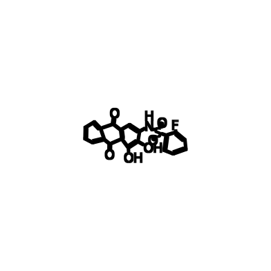 O=C1c2ccccc2C(=O)c2c1cc(NS(=O)(=O)c1ccccc1F)c(O)c2O